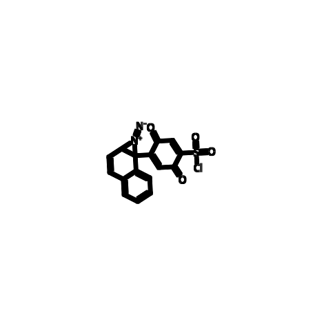 [N-]=[N+]1C2C=Cc3ccccc3C21C1=CC(=O)C(S(=O)(=O)Cl)=CC1=O